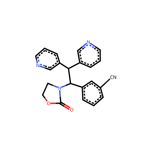 N#Cc1cccc(C(C(c2cccnc2)c2cccnc2)N2CCOC2=O)c1